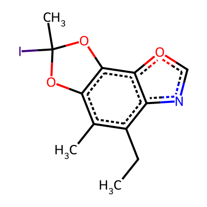 CCc1c(C)c2c(c3ocnc13)OC(C)(I)O2